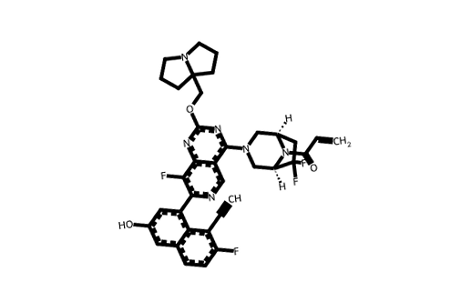 C#Cc1c(F)ccc2cc(O)cc(-c3ncc4c(N5C[C@H]6CC(F)(F)[C@@H](C5)N6C(=O)C=C)nc(OCC56CCCN5CCC6)nc4c3F)c12